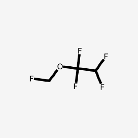 FCOC(F)(F)C(F)F